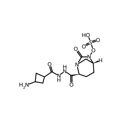 NC1CC(C(=O)NNC(=O)[C@@H]2CC[C@@H]3CN2C(=O)N3OS(=O)(=O)O)C1